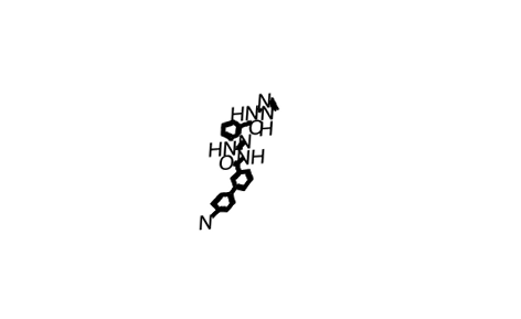 N#Cc1ccc(-c2cccc(C(=O)Nc3nc4c(C(=O)Nc5ncc[nH]5)cccc4[nH]3)c2)cc1